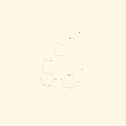 COc1cc(-c2cc(CN(C)CC3CCN(C(=O)OC(C)(C)C)CC3)ccn2)cc(OC)c1OC